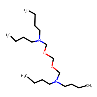 CCCCN(CCCC)COCOCN(CCCC)CCCC